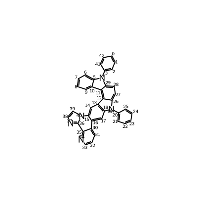 c1ccc(-n2c3ccccc3c3c4c5cc6c(cc5n(-c5ccccc5)c4ccc32)c2cccnc2c2nccn62)cc1